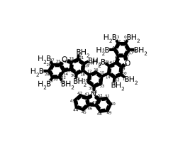 Bc1c(B)c(B)c2c(oc3c(B)c(B)c(-c4cc(-c5c(B)c(B)c6oc7c(B)c(B)c(B)c(B)c7c6c5B)cc(-n5c6ccccc6c6ccccc65)c4)c(B)c32)c1B